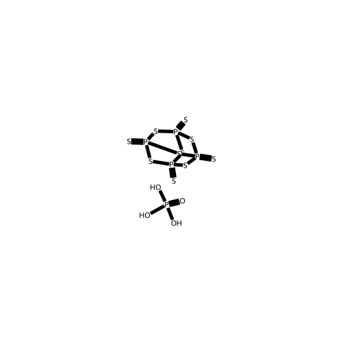 O=P(O)(O)O.S=P12SP3(=S)SP(=S)(S1)SP(=S)(S2)S3